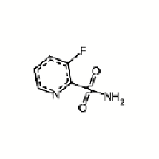 NS(=O)(=O)c1ncccc1F